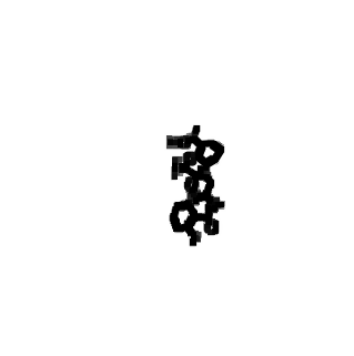 C[C@H](O)c1cccc2c1OC(F)(F)C(=O)N2Cc1nc2cccc(F)c2c(=O)n1C